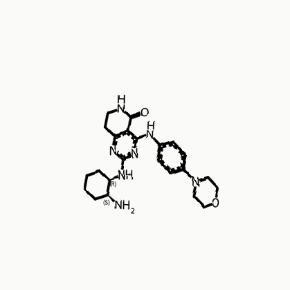 N[C@H]1CCCC[C@H]1Nc1nc2c(c(Nc3ccc(N4CCOCC4)cc3)n1)C(=O)NCC2